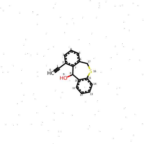 C#Cc1cccc2c1C(O)c1ccccc1SC2